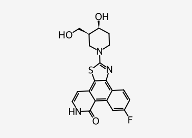 O=c1[nH]ccc2c3sc(N4CC[C@H](O)[C@H](CO)C4)nc3c3ccc(F)cc3c12